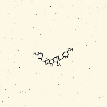 C=C(/C=C\N)Cc1nc2c(s1)c1cnn(CC3=NCC(C#N)C=C3)c(=O)c1n2C